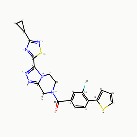 C[C@@H]1c2nnc(-c3nc(C4CC4)ns3)n2CCN1C(=O)c1ccc(-c2cccs2)c(F)c1